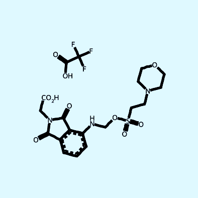 O=C(O)C(F)(F)F.O=C(O)CN1C(=O)c2cccc(NCOS(=O)(=O)CCN3CCOCC3)c2C1=O